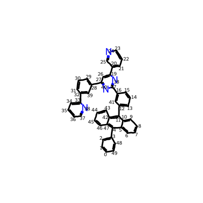 c1ccc(-c2c3ccccc3c(-c3cccc(-c4nc(-c5cccnc5)cc(-c5cccc(-c6ccccn6)c5)n4)c3)c3ccccc23)cc1